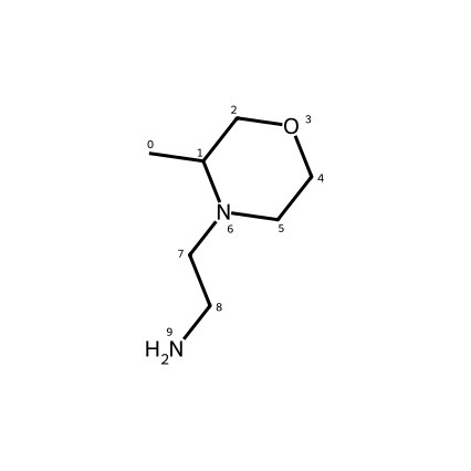 CC1COCCN1CCN